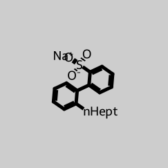 CCCCCCCc1ccccc1-c1ccccc1S(=O)(=O)[O-].[Na+]